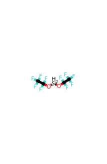 FC(F)(F)C(F)(F)O[SiH2]OC(F)(F)C(F)(F)F